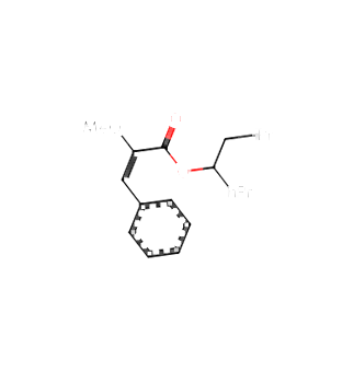 CCCC(CC(C)C)OC(=O)C(=Cc1ccccc1)OC